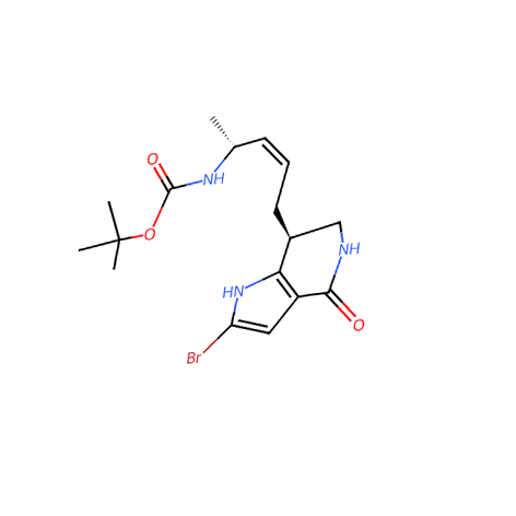 C[C@H](/C=C\C[C@H]1CNC(=O)c2cc(Br)[nH]c21)NC(=O)OC(C)(C)C